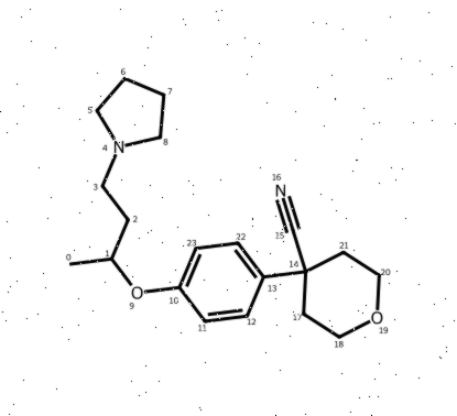 CC(CCN1CCCC1)Oc1ccc(C2(C#N)CCOCC2)cc1